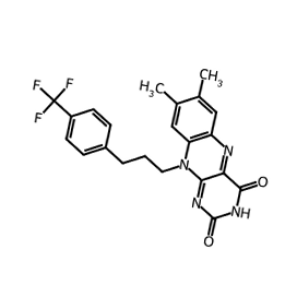 Cc1cc2nc3c(=O)[nH]c(=O)nc-3n(CCCc3ccc(C(F)(F)F)cc3)c2cc1C